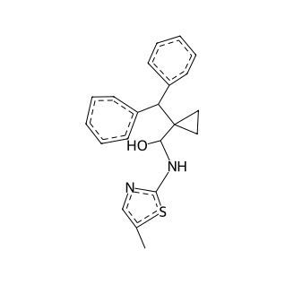 Cc1cnc(NC(O)C2(C(c3ccccc3)c3ccccc3)CC2)s1